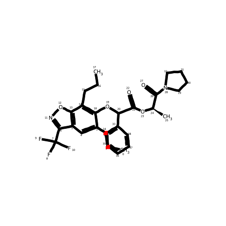 CCCc1cc2c(C(F)(F)F)noc2c(CCC)c1OC(C(=O)O[C@H](C)C(=O)N1CCCC1)c1ccccc1